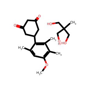 CC(CO)(CO)CO.COc1cc(C)c(C2CC(=O)CC(=O)C2)c(C)c1C